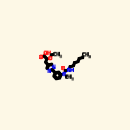 CCCCCCCNC(=O)N(C)c1cccc(-c2ncc(CC(OCC)C(=O)O)cn2)c1